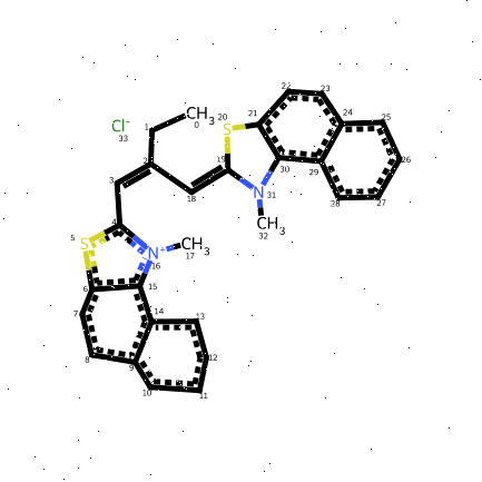 CCC(=Cc1sc2ccc3ccccc3c2[n+]1C)C=C1Sc2ccc3ccccc3c2N1C.[Cl-]